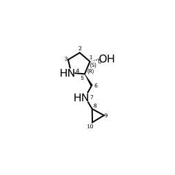 O[C@H]1CCN[C@@H]1CNC1CC1